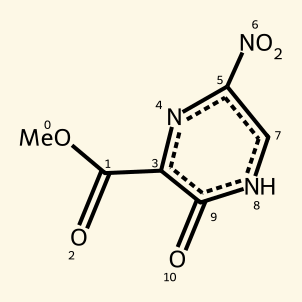 COC(=O)c1nc([N+](=O)[O-])c[nH]c1=O